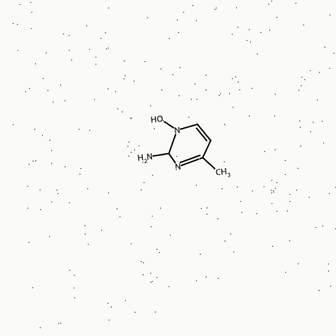 CC1=NC(N)N(O)C=C1